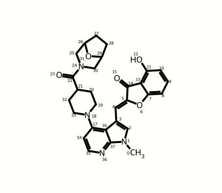 Cn1cc(C=C2Oc3cccc(O)c3C2=O)c2c(N3CCC(C(=O)N4CC5CCC(C4)O5)CC3)ccnc21